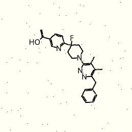 C=C(O)c1ccc(C2(F)CCN(c3nnc(Cc4ccccc4)c(C)c3C)CC2)nc1